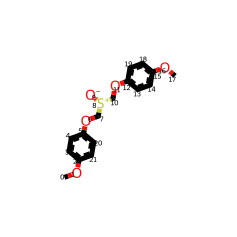 COc1ccc(OC[S+]([O-])COc2ccc(OC)cc2)cc1